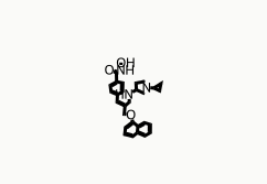 O=C(NO)c1ccc(/C=C(\CNC2CCN(C3CC3)C2)COc2cccc3ccccc23)cc1